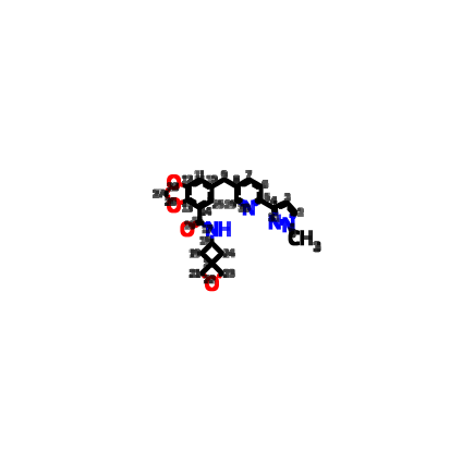 Cn1ccc(-c2ccc(Cc3cc4c(c(C(=O)NC5CC6(COC6)C5)c3)OCO4)cn2)n1